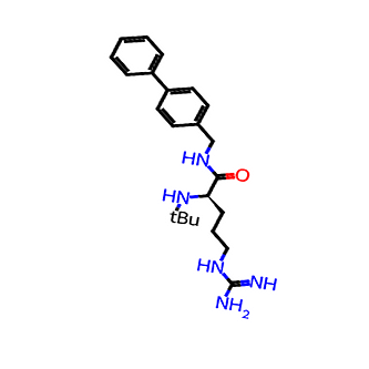 CC(C)(C)N[C@H](CCCNC(=N)N)C(=O)NCc1ccc(-c2ccccc2)cc1